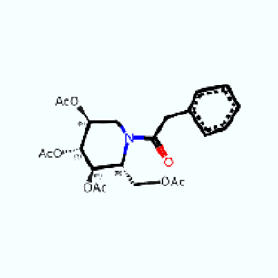 CC(=O)OC[C@@H]1[C@@H](OC(C)=O)[C@H](OC(C)=O)[C@@H](OC(C)=O)CN1C(=O)Cc1ccccc1